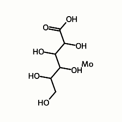 O=C(O)C(O)C(O)C(O)C(O)CO.[Mo]